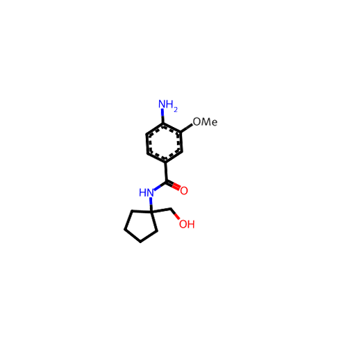 COc1cc(C(=O)NC2(CO)CCCC2)ccc1N